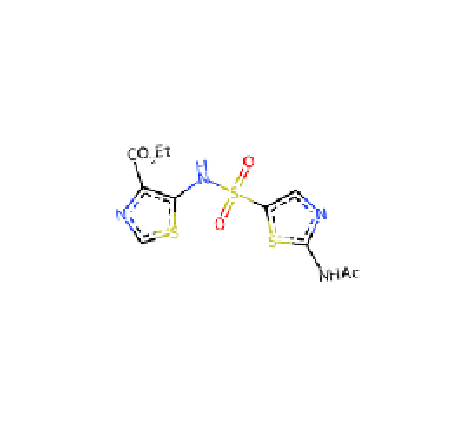 CCOC(=O)c1ncsc1NS(=O)(=O)c1cnc(NC(C)=O)s1